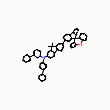 CC1(C)c2cc(-c3ccc4c(c3)C3(c5ccccc5Oc5ccccc53)c3ccccc3-4)ccc2-c2ccc(N(c3ccc(-c4ccccc4)cc3)C3C=CC=C(c4ccccc4)C3)cc21